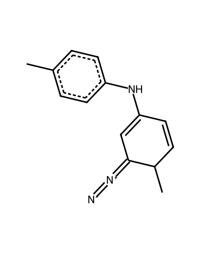 Cc1ccc(NC2=CC(=[N+]=[N-])C(C)C=C2)cc1